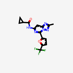 Cc1nc2cc(NC(=O)C3CC3)nc(-c3ccc(C(F)(F)F)o3)n2n1